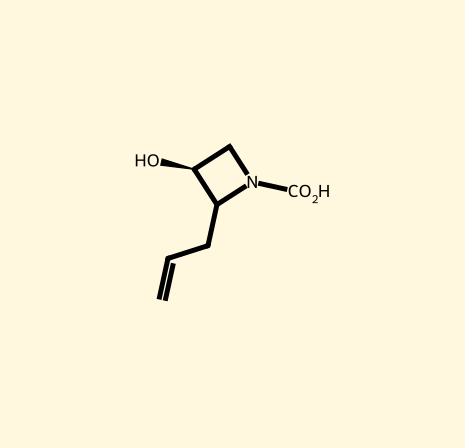 C=CCC1[C@@H](O)CN1C(=O)O